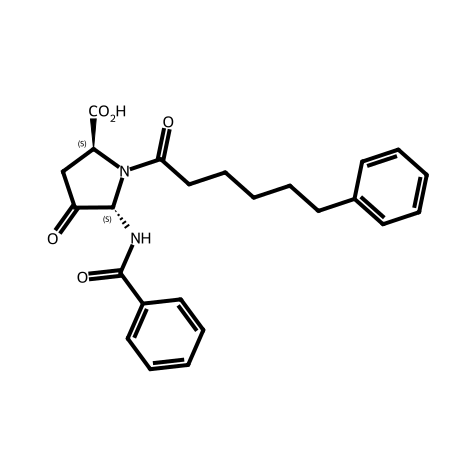 O=C(N[C@@H]1C(=O)C[C@@H](C(=O)O)N1C(=O)CCCCCc1ccccc1)c1ccccc1